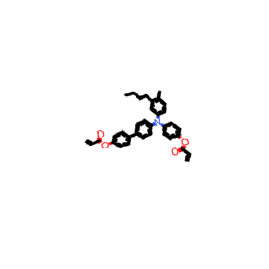 C=CC(=O)Oc1ccc(-c2ccc(N(c3ccc(OC(=O)C=C)cc3)c3ccc(C)c(CCCC)c3)cc2)cc1